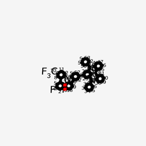 Fc1cc(F)cc(-c2cc(C(F)(F)F)ccc2-n2c3ccccc3c3cc(-c4cc5c6c(c4)N(c4ccccc4)c4ccccc4B6c4ccccc4N5c4ccccc4)ccc32)c1